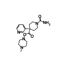 CN1CCN(OC(=O)C2(c3cccnc3)CCN(C(N)=O)CC2)CC1